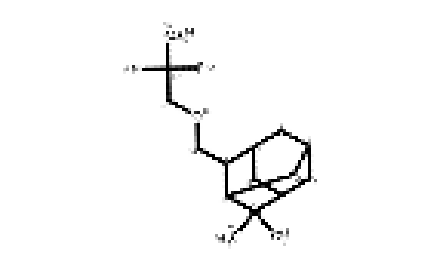 CC1(O)C2CC3CC(C2)C(COCC(F)(F)S(=O)(=O)O)C1C3